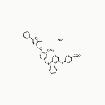 COc1cc(Cn2c3ccccc3c3c(Oc4ccc(C(=O)[O-])cc4)cccc32)ccc1OCc1nc(-c2ccccc2)oc1C.[Na+]